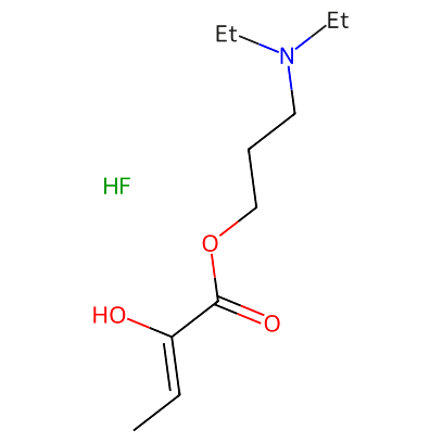 CC=C(O)C(=O)OCCCN(CC)CC.F